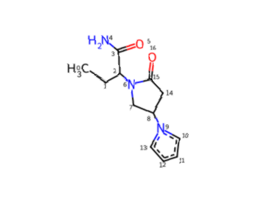 CCC(C(N)=O)N1CC(n2cccc2)CC1=O